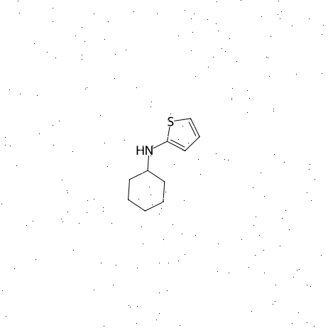 c1csc(NC2CCCCC2)c1